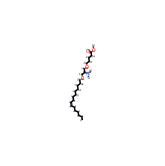 CCCCCC/C=C\CCCCCCCCOCC(COCCCCC(=O)OC)N(C)C